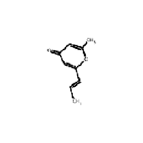 C/C=C/c1cc(=O)cc(C)o1